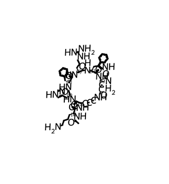 CC(=O)N[C@@H](CCCCN)C(=O)N[C@H]1CCCNC(=O)CC[C@@H](C(N)=O)NC(=O)[C@H](Cc2c[nH]c3ccccc23)NC(=O)[C@H](CCCNC(=N)N)NC(=O)[C@@H](Cc2ccccc2)NC(=O)[C@H](Cc2c[nH]cn2)NC1=O